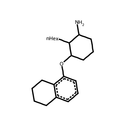 CCCCCCC1C(N)CCCC1Oc1cccc2c1CCCC2